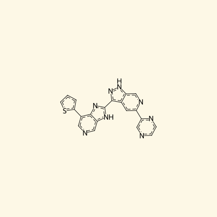 c1csc(-c2cncc3[nH]c(-c4n[nH]c5cnc(-c6cnccn6)cc45)nc23)c1